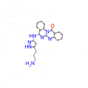 NCCCc1cc(Nc2nc3nc4ccccc4c(=O)n3c3ccccc23)n[nH]1